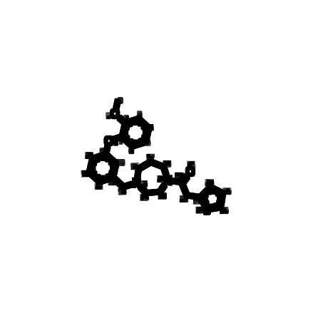 COc1ccccc1Oc1cccc(CN2CCCN(C(=O)Cc3cccs3)CC2)c1